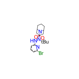 CC(C)(C)OC(=O)N1C2CCCC1CC(=NNc1cccc(Br)n1)C2